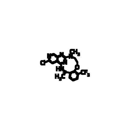 C[C@H]1Nc2nc(nc3cnc(Cl)cc23)N(C)CCOc2c1cccc2C(F)(F)F